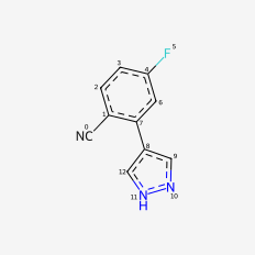 N#Cc1ccc(F)cc1-c1cn[nH]c1